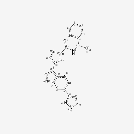 O=C(NC(c1ccccn1)C(F)(F)F)c1cc(-c2cnn3cc(-c4cc[nH]n4)cnc23)cs1